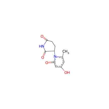 Cc1cc(O)cc(=O)n1C1CCC(=O)NC1=O